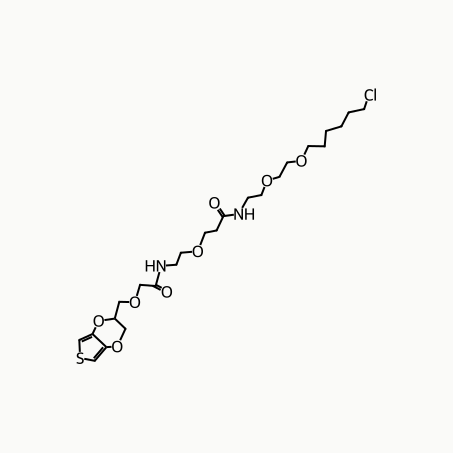 O=C(CCOCCNC(=O)COCC1COc2cscc2O1)NCCOCCOCCCCCCCl